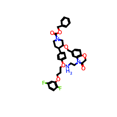 NCCN1C(=O)COc2ccc(COC3CN(C(=O)OCc4ccccc4)CCC3c3ccc(OCCCOc4cc(F)ccc4F)cc3)cc21